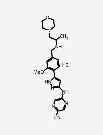 COc1cc(CNC(C)CN2CCOCC2)ccc1-c1cc(Nc2cnc(C#N)cn2)n[nH]1.Cl